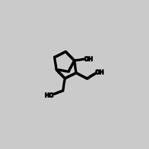 OCC1C2CCC(O)(C2)C1CO